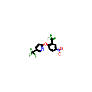 O=[N+]([O-])c1ccc(Oc2ccc(C(F)(F)F)cn2)c(C(F)(F)F)c1